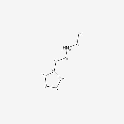 CCNCCC1CCCC1